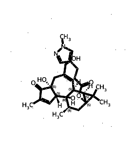 CC1=C[C@H]2[C@@]3(O)[C@H](C)C[C@]4(OC(=O)CCc5cnn(C)c5)[C@@H]([C@@H]3C=C(CO)C[C@]2(O)C1=O)C4(C)C